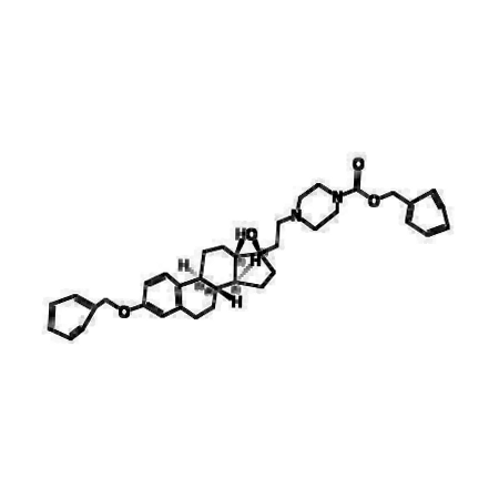 C[C@]12CC[C@@H]3c4ccc(OCc5ccccc5)cc4CC[C@H]3[C@@H]1CC[C@@]2(O)CCN1CCN(C(=O)OCc2ccccc2)CC1